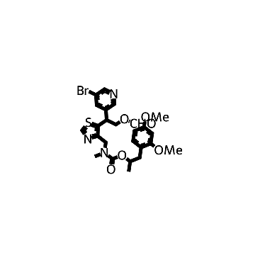 COc1ccc(CC(C)OC(=O)N(C)Cc2ncsc2C(COC=O)c2cncc(Br)c2)c(OC)c1